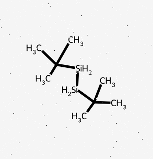 CC(C)(C)[SiH2][SiH2]C(C)(C)C